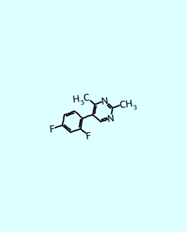 Cc1ncc(-c2ccc(F)cc2F)c(C)n1